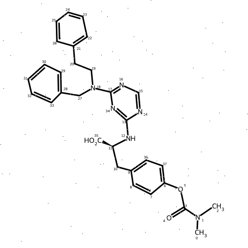 CN(C)C(=O)Oc1ccc(C[C@H](Nc2ncnc(N(CCc3ccccc3)Cc3ccccc3)n2)C(=O)O)cc1